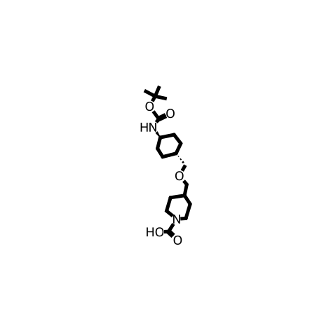 CC(C)(C)OC(=O)N[C@H]1CC[C@H](COCC2CCN(C(=O)O)CC2)CC1